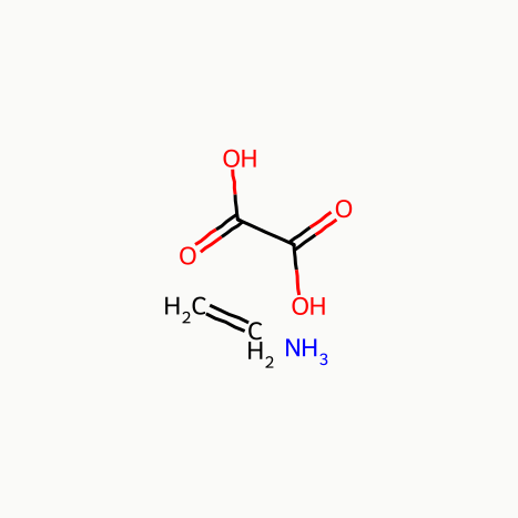 C=C.N.O=C(O)C(=O)O